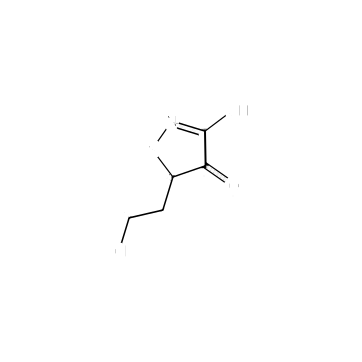 CC1=NSC(CCCl)C1=O